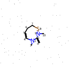 C=C1N(C)/C=C\CCSN1C